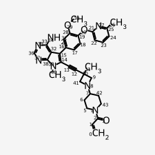 C=CC(=O)N1CCC(N2CC(C)(C#Cc3c(-c4ccc(Oc5cccc(C)n5)c(OC)c4)c4c(N)ncnc4n3C)C2)CC1